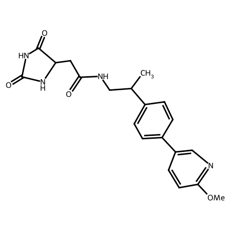 COc1ccc(-c2ccc(C(C)CNC(=O)CC3NC(=O)NC3=O)cc2)cn1